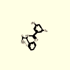 CC(C)(C)c1cc(C(=O)NC(C(N)=O)c2ccccc2)cc(C(C)(C)C)c1